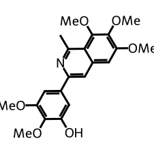 COc1cc(-c2cc3cc(OC)c(OC)c(OC)c3c(C)n2)cc(O)c1OC